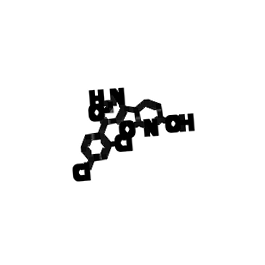 NC1=C(C(=O)c2ccc(Cl)cc2Cl)OC2N=C(O)C=CC12